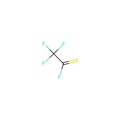 FC(=S)C(F)(F)F